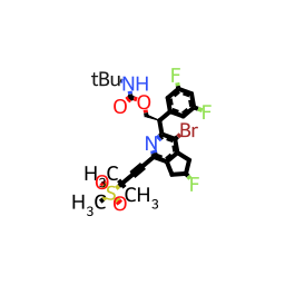 CC(C)(C)NC(=O)OC[C@@H](c1cc(F)cc(F)c1)c1nc(C#CC(C)(C)S(C)(=O)=O)c2c(c1Br)CC(F)C2